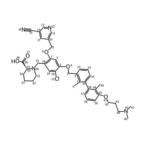 Cc1c(COc2cc(OCc3cncc(C#N)c3)c(CN3CCCC[C@H]3C(=O)O)cc2Cl)cccc1-c1cccc(OCCCN(C)C)c1C